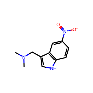 CN(C)Cc1c[nH]c2ccc([N+](=O)[O-])cc12